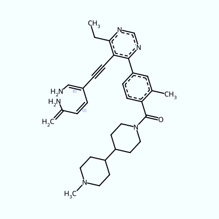 C=C(N)/C=C\C(C#Cc1c(CC)ncnc1-c1ccc(C(=O)N2CCC(C3CCN(C)CC3)CC2)c(C)c1)=C/N